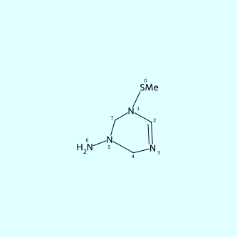 CSN1C=NCN(N)C1